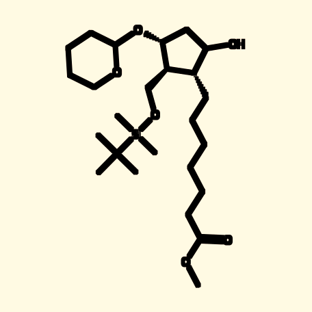 COC(=O)CCCCCC[C@H]1C(O)C[C@@H](OC2CCCCO2)[C@@H]1CO[Si](C)(C)C(C)(C)C